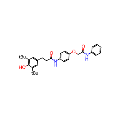 CC(C)(C)c1cc(CCC(=O)Nc2ccc(OCC(=O)Nc3ccccc3)cc2)cc(C(C)(C)C)c1O